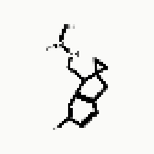 CC(C)(C)[S+]([O-])NCC1c2cc(Br)ccc2CC12CC2